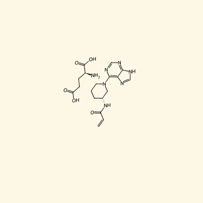 C=CC(=O)N[C@@H]1CCCN(c2ncnc3[nH]cnc23)C1.N[C@@H](CCC(=O)O)C(=O)O